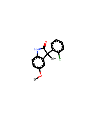 CCCC1(c2ccccc2Cl)C(=O)Nc2ccc(OCC)cc21